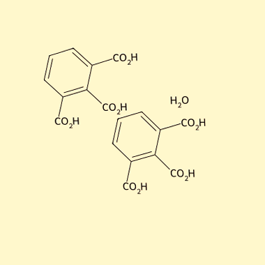 O.O=C(O)c1cccc(C(=O)O)c1C(=O)O.O=C(O)c1cccc(C(=O)O)c1C(=O)O